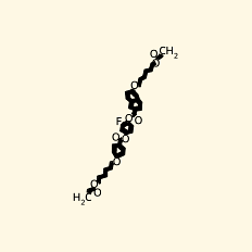 C=CC(=O)OCCCCCCOc1ccc(C(=O)Oc2ccc(OC(=O)c3ccc4cc(OCCCCCCOC(=O)C=C)ccc4c3)c(F)c2)cc1